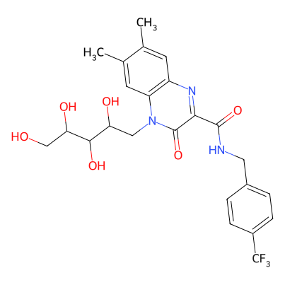 Cc1cc2nc(C(=O)NCc3ccc(C(F)(F)F)cc3)c(=O)n(CC(O)C(O)C(O)CO)c2cc1C